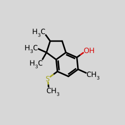 CSc1cc(C)c(O)c2c1C(C)(C)C(C)C2